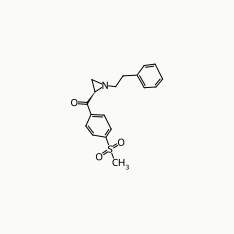 CS(=O)(=O)c1ccc(C(=O)[C@H]2CN2CCc2ccccc2)cc1